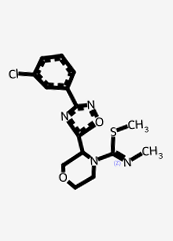 C/N=C(\SC)N1CCOCC1c1nc(-c2cccc(Cl)c2)no1